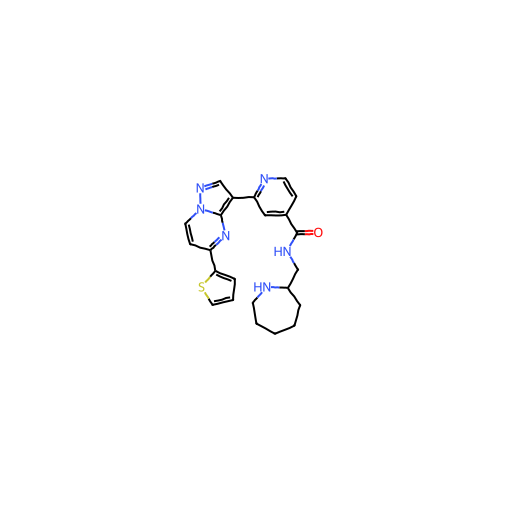 O=C(NCC1CCCCCN1)c1ccnc(-c2cnn3ccc(-c4cccs4)nc23)c1